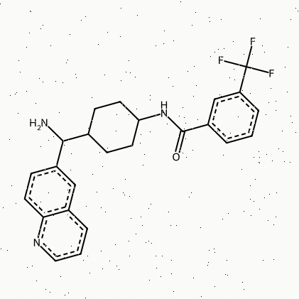 NC(c1ccc2ncccc2c1)C1CCC(NC(=O)c2cccc(C(F)(F)F)c2)CC1